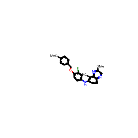 COc1ccc(COc2ccc(Nc3ccc4ncc(OC)nc4c3C#N)cc2F)cc1